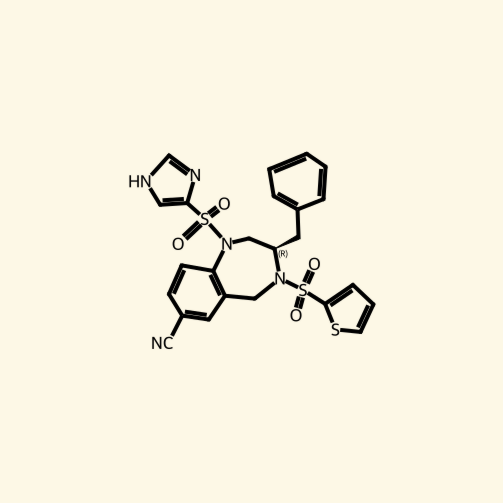 N#Cc1ccc2c(c1)CN(S(=O)(=O)c1cccs1)[C@H](Cc1ccccc1)CN2S(=O)(=O)c1c[nH]cn1